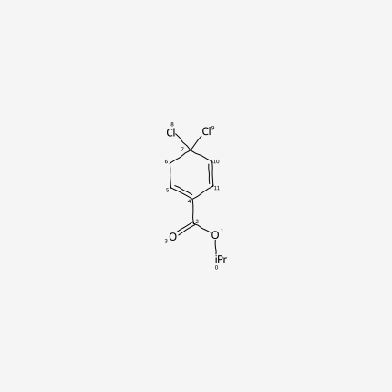 CC(C)OC(=O)C1=CCC(Cl)(Cl)C=C1